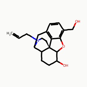 C=CCN1CC[C@@]23c4c5ccc(CO)c4OC2C(O)CCC3C1C5